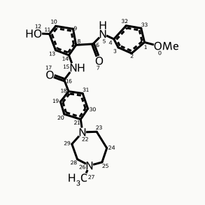 COc1ccc(NC(=O)c2ccc(O)cc2NC(=O)c2ccc(N3CCCN(C)CC3)cc2)cc1